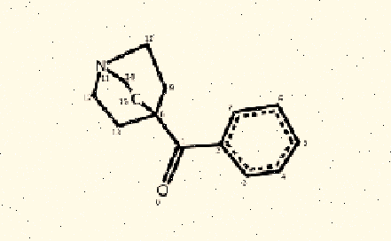 O=C(c1ccccc1)C12CCN(CC1)CC2